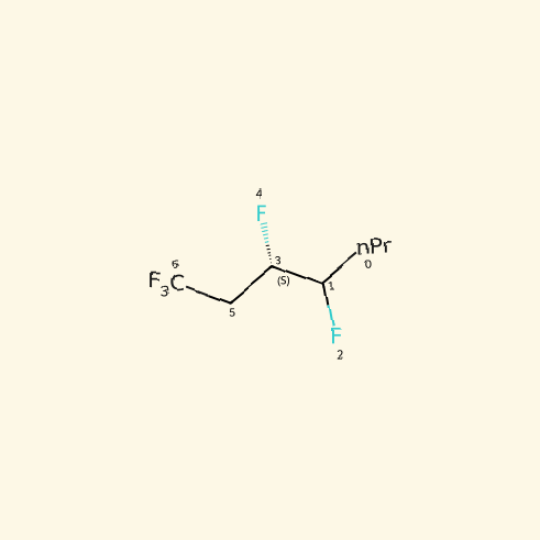 [CH2]CCC(F)[C@@H](F)CC(F)(F)F